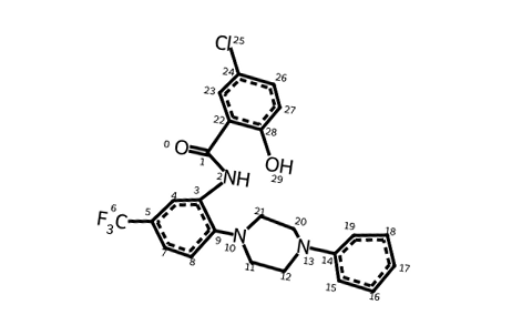 O=C(Nc1cc(C(F)(F)F)ccc1N1CCN(c2ccccc2)CC1)c1cc(Cl)ccc1O